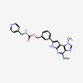 CNc1nc2[nH]c(-c3cccc(COC(=O)NCc4ccncc4)c3)cc2c2c1ncn2C